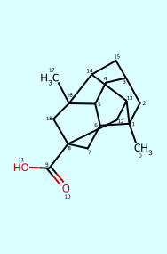 CC12CC3CC4C1CC1(C(=O)O)CC2C(C3)C4(C)C1